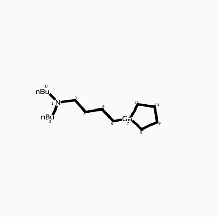 CCCCN(CCCC)CCC[CH2][Ga]1[CH2]CC[CH2]1